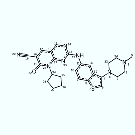 CN1CCN(c2csc3ccc(Nc4ncc5cc(C#N)c(=O)n(C6CCCC6)c5n4)cc23)CC1